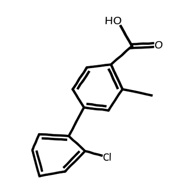 Cc1cc(-c2ccccc2Cl)ccc1C(=O)O